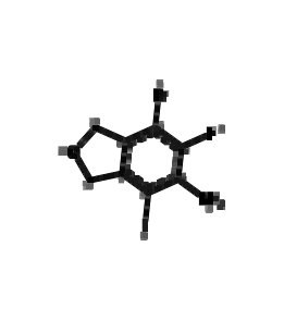 Nc1c(F)c(Br)c2c(c1I)COC2